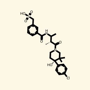 CC(NC(=O)c1cccc(CS(=O)(=O)O)c1)[C@@H](C)C(=O)N1CC[C@](O)(c2ccc(Cl)cc2)C(C)(C)C1